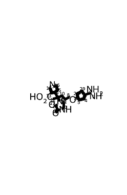 N=C(N)c1ccc(OCCCC(CC(=O)O)(c2ccncc2)N2CCNC(=O)C2=O)cc1